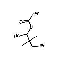 CCCC(=O)OC(O)C(C)(C)CC(C)C